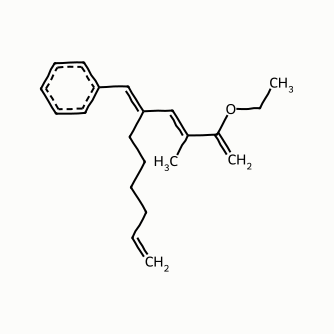 C=CCCCCC(=C\c1ccccc1)/C=C(\C)C(=C)OCC